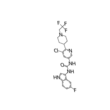 O=C(Nc1cnc(C2CCN(CC(F)(F)F)CC2)c(Cl)c1)Nc1c[nH]c2ccc(F)cc12